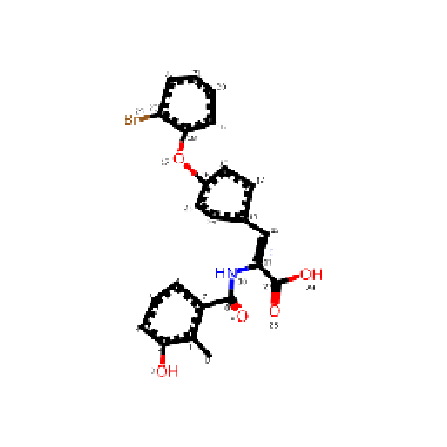 Cc1c(O)cccc1C(=O)N/C(=C\c1ccc(Oc2ccccc2Br)cc1)C(=O)O